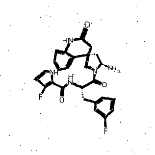 N[C@@H]1C[C@]2(CC(=O)Nc3ccccc32)CN1C(=O)[C@H](Cc1cccc(F)c1)NC(=O)c1[nH]ccc1F